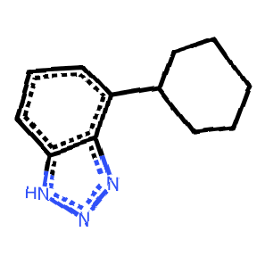 c1cc(C2CCCCC2)c2nn[nH]c2c1